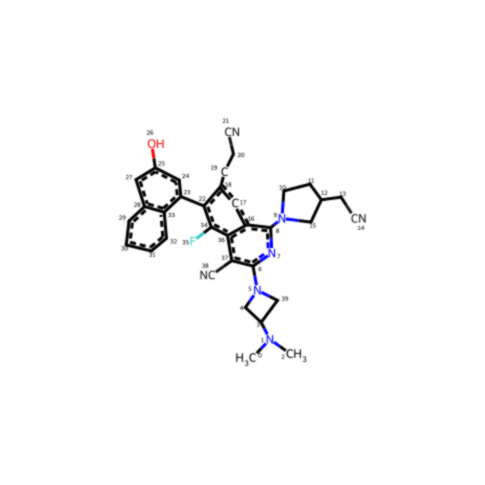 CN(C)C1CN(c2nc(N3CCC(CC#N)C3)c3cc(CCC#N)c(-c4cc(O)cc5ccccc45)c(F)c3c2C#N)C1